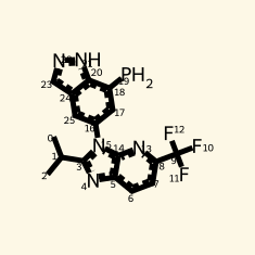 CC(C)c1nc2ccc(C(F)(F)F)nc2n1-c1cc(P)c2[nH]ncc2c1